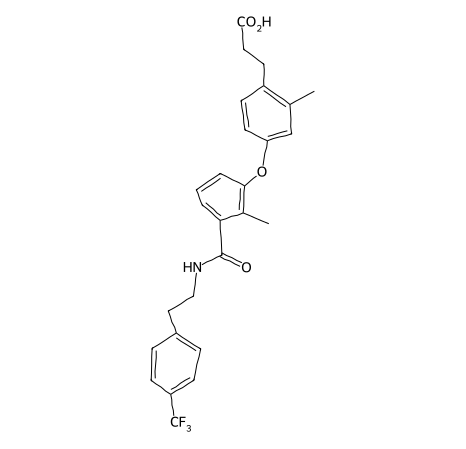 Cc1cc(Oc2cccc(C(=O)NCCc3ccc(C(F)(F)F)cc3)c2C)ccc1CCC(=O)O